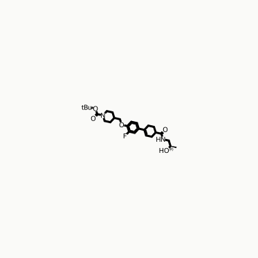 C[C@@H](O)CNC(=O)C1CC=C(c2ccc(OCC3CCN(C(=O)OC(C)(C)C)CC3)c(F)c2)CC1